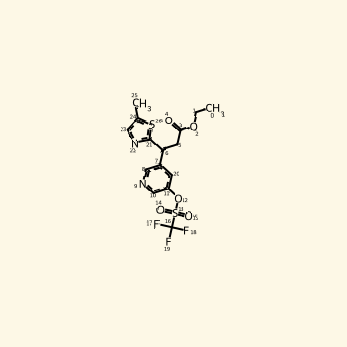 CCOC(=O)CC(c1cncc(OS(=O)(=O)C(F)(F)F)c1)c1ncc(C)s1